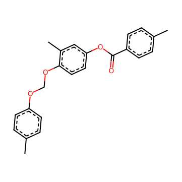 Cc1ccc(OCOc2ccc(OC(=O)c3ccc(C)cc3)cc2C)cc1